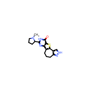 CN1CCCC1c1nc2c3c(sc2c(=O)[nH]1)-c1c[nH]nc1CCC3